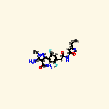 CC(C)n1nc(-c2cc(F)c(CC(=O)Nc3cc(CC(C)(C)C)no3)cc2F)c(C(N)=O)c1N